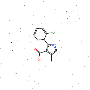 Cc1c[nH]c(C2CC=CC=C2Cl)c1C(=O)O